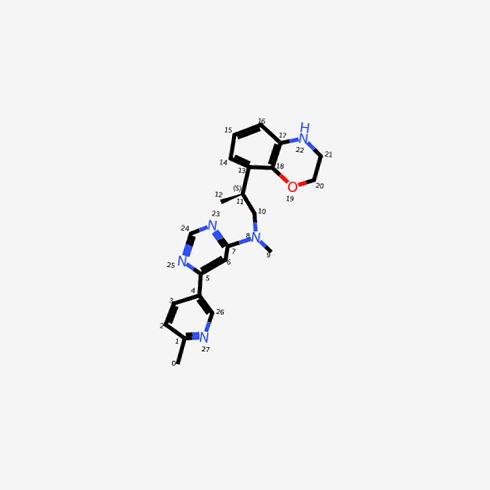 Cc1ccc(-c2cc(N(C)C[C@@H](C)c3cccc4c3OCCN4)ncn2)cn1